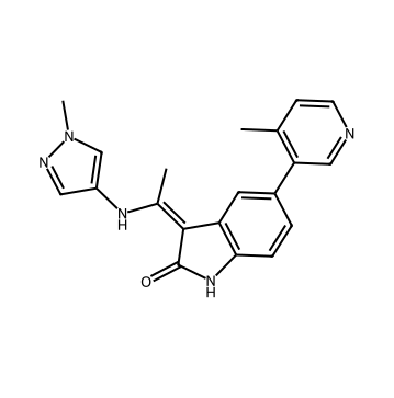 C/C(Nc1cnn(C)c1)=C1/C(=O)Nc2ccc(-c3cnccc3C)cc21